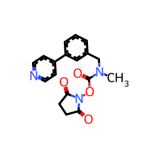 CN(Cc1cccc(-c2ccncc2)c1)C(=O)ON1C(=O)CCC1=O